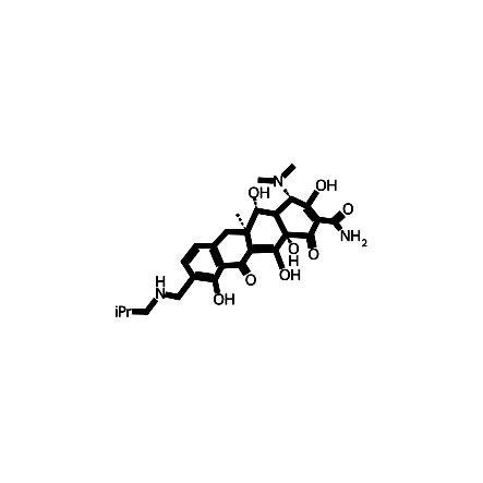 CC(C)CNCc1ccc2c(c1O)C(=O)C1=C(O)[C@]3(O)C(=O)C(C(N)=O)=C(O)[C@@H](N(C)C)C3[C@@H](O)[C@]1(C)C2